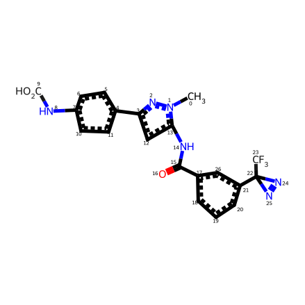 Cn1nc(-c2ccc(NC(=O)O)cc2)cc1NC(=O)c1cccc(C2(C(F)(F)F)N=N2)c1